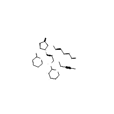 CC#CCC[C@@H](C=C[C@H]1[C@H](OC2CCCCO2)CC(=O)[C@@H]1CC=CCCCC(=O)O)OC1CCCCO1